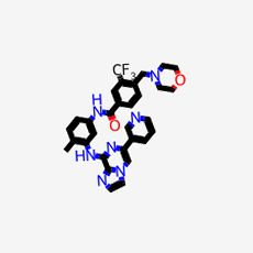 Cc1ccc(NC(=O)c2ccc(CN3CCOCC3)c(C(F)(F)F)c2)cc1Nc1nc(-c2cccnc2)cn2ccnc12